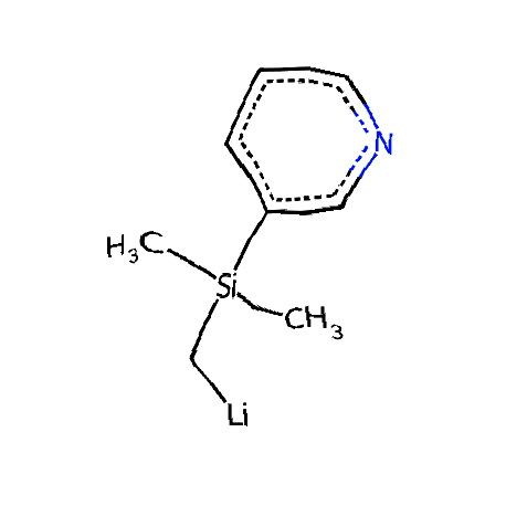 [Li][CH2][Si](C)(C)c1cccnc1